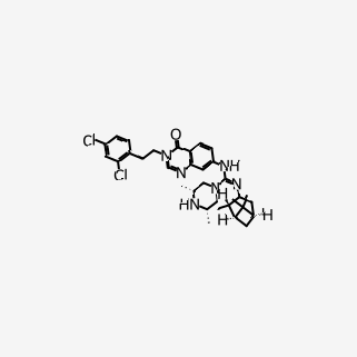 C[C@@H]1CN(/C(=N\C2C[C@H]3C[C@@H]([C@@H]2C)C3(C)C)Nc2ccc3c(=O)n(CCc4ccc(Cl)cc4Cl)cnc3c2)C[C@H](C)N1